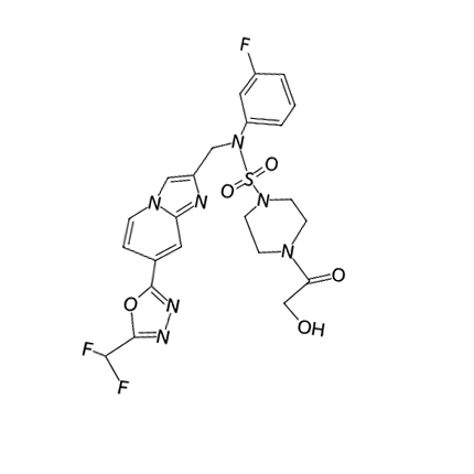 O=C(CO)N1CCN(S(=O)(=O)N(Cc2cn3ccc(-c4nnc(C(F)F)o4)cc3n2)c2cccc(F)c2)CC1